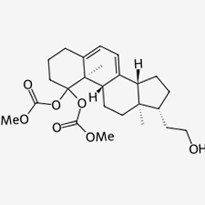 COC(=O)OC1(OC(=O)OC)CCCC2=CC=C3[C@@H]4CC[C@H](CCO)[C@@]4(C)CC[C@@H]3[C@]21C